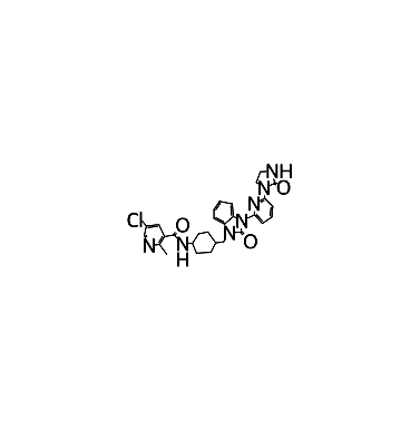 Cc1ncc(Cl)cc1C(=O)NC1CCC(Cn2c(=O)n(-c3cccc(N4CCNC4=O)n3)c3ccccc32)CC1